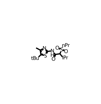 CCCS(=O)(=O)C(C(=O)Nc1nc(C)c(C(C)(C)C)s1)C(C)C